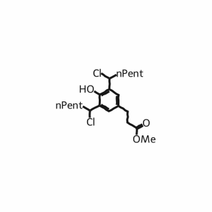 CCCCCC(Cl)c1cc(CCC(=O)OC)cc(C(Cl)CCCCC)c1O